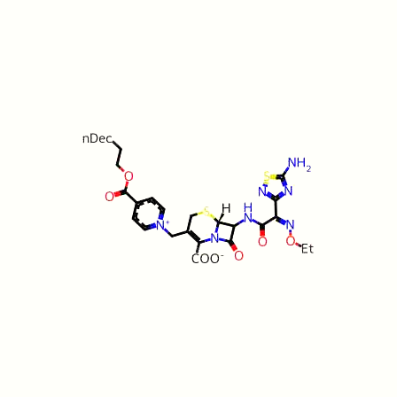 CCCCCCCCCCCCOC(=O)c1cc[n+](CC2=C(C(=O)[O-])N3C(=O)C(NC(=O)/C(=N\OCC)c4nsc(N)n4)[C@H]3SC2)cc1